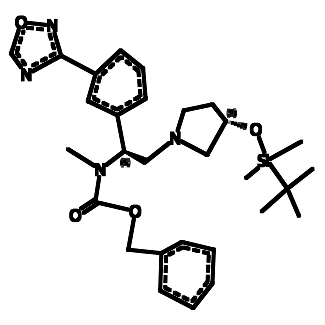 CN(C(=O)OCc1ccccc1)[C@H](CN1CC[C@H](O[Si](C)(C)C(C)(C)C)C1)c1cccc(-c2ncon2)c1